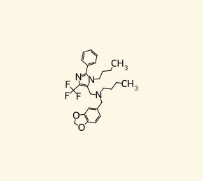 CCCCN(Cc1ccc2c(c1)OCO2)Cc1c(C(F)(F)F)nc(-c2ccccc2)n1CCCC